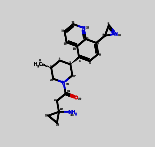 C[C@@H]1C[C@H](c2ccc(C3C=N3)c3ncccc23)CN(C(=O)CC2(N)CC2)C1